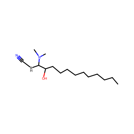 CCCCCCCCCCC(O)C(BC#N)N(C)C